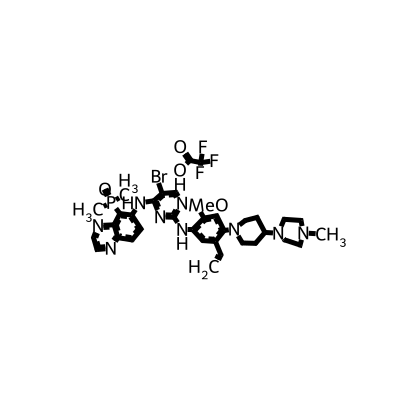 C=Cc1cc(Nc2ncc(Br)c(Nc3ccc4nccnc4c3P(C)(C)=O)n2)c(OC)cc1N1CCC(N2CCN(C)CC2)CC1.O=C(O)C(F)(F)F